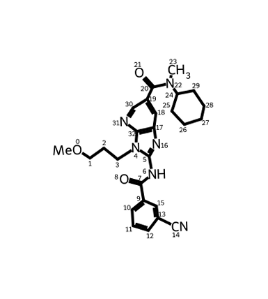 COCCCn1c(NC(=O)c2cccc(C#N)c2)nc2cc(C(=O)N(C)C3CCCCC3)cnc21